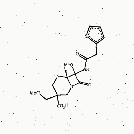 COCC1(C(=O)O)CS[C@H]2N(C1)C(=O)C2(NC(=O)Cc1cccs1)OC